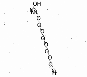 CCOCCOCCOCCOCCOCCOCCOCCOCCOCCn1cc(CO)nn1